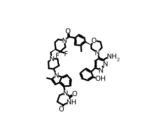 Cc1cc(C(=O)N2CC[C@H](CN3CCC(n4c(C)cc5c(N6CCC(=O)NC6=O)cccc54)CC3)C(F)(F)C2)ccc1[C@@H]1CN(c2cc(-c3ccccc3O)nnc2N)CCO1